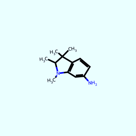 CC1N(C)c2cc(N)ccc2C1(C)C